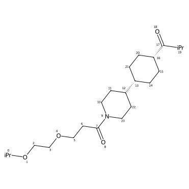 CC(C)OCCOCCC(=O)N1CCC([C@H]2CC[C@@H](C(=O)C(C)C)CC2)CC1